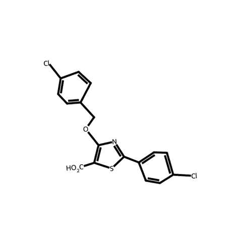 O=C(O)c1sc(-c2ccc(Cl)cc2)nc1OCc1ccc(Cl)cc1